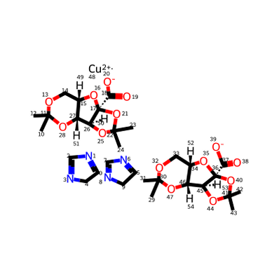 C1=NC=NC1.C1=NC=NC1.CC1(C)OC[C@@H]2O[C@@]3(C(=O)[O-])OC(C)(C)O[C@H]3[C@@H]2O1.CC1(C)OC[C@@H]2O[C@@]3(C(=O)[O-])OC(C)(C)O[C@H]3[C@@H]2O1.[Cu+2]